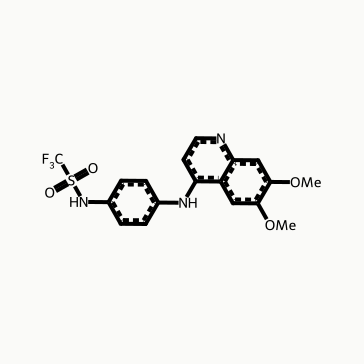 COc1cc2nccc(Nc3ccc(NS(=O)(=O)C(F)(F)F)cc3)c2cc1OC